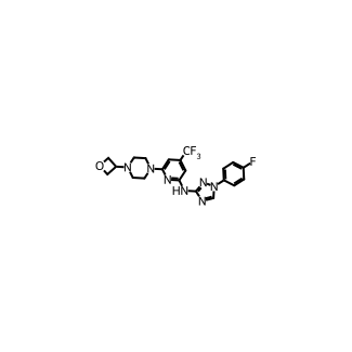 Fc1ccc(-n2cnc(Nc3cc(C(F)(F)F)cc(N4CCN(C5COC5)CC4)n3)n2)cc1